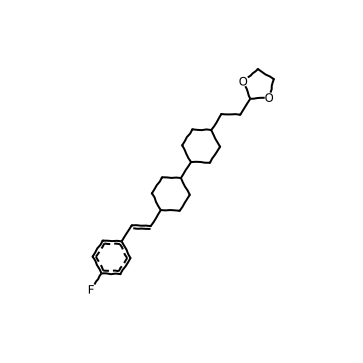 Fc1ccc(C=CC2CCC(C3CCC(CCC4OCCO4)CC3)CC2)cc1